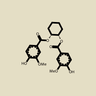 COc1cc(C(=O)O[C@H]2CCCC[C@H]2OC(=O)c2ccc(O)c(OC)c2)ccc1O